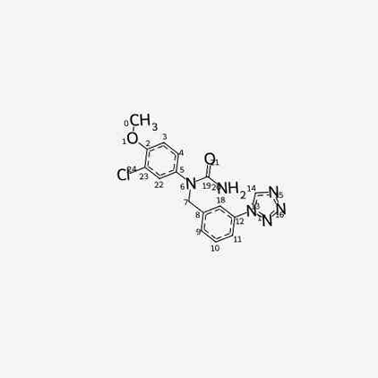 COc1ccc(N(Cc2cccc(-n3cnnn3)c2)C(N)=O)cc1Cl